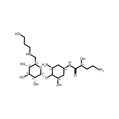 NCC[C@H](O)C(=O)N[C@H]1C[C@@H](O)C(O[C@H]2O[C@H](CNCCCO)[C@@H](O)[C@H](O)[C@H]2O)[C@@H](N)C1